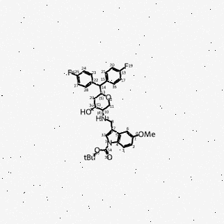 COc1ccc2c(c1)c(CN[C@@H]1CO[C@H](C(c3ccc(F)cc3)c3ccc(F)cc3)C[C@@H]1O)cn2C(=O)OC(C)(C)C